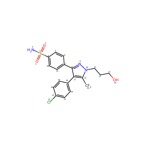 NS(=O)(=O)c1ccc(-c2nn(CCCO)c(C(F)(F)F)c2-c2ccc(Cl)cc2)cc1